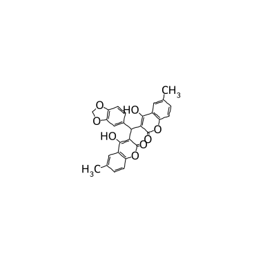 Cc1ccc2oc(=O)c(C(c3ccc4c(c3)OCO4)c3c(O)c4cc(C)ccc4oc3=O)c(O)c2c1